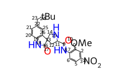 COc1cc([N+](=O)[O-])ccc1NC(=O)C1CC2(CN1)C(=O)Nc1ccc(CC(C)(C)C)cc12